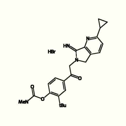 Br.CNC(=O)Oc1ccc(C(=O)CN2Cc3ccc(C4CC4)nc3C2=N)cc1C(C)(C)C